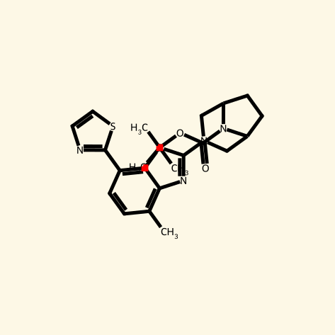 Cc1ccc(-c2nccs2)c2oc(N3CC4CCC(C3)N4C(=O)OC(C)(C)C)nc12